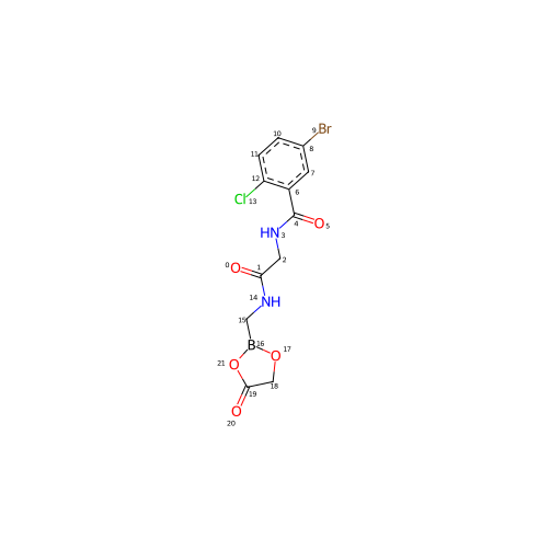 O=C(CNC(=O)c1cc(Br)ccc1Cl)NCB1OCC(=O)O1